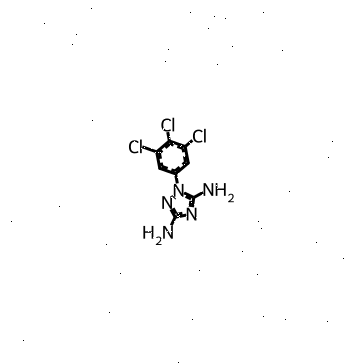 Nc1nc(N)n(-c2cc(Cl)c(Cl)c(Cl)c2)n1